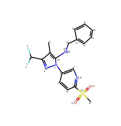 Cc1c(C(F)F)nn(-c2ccc(S(C)(=O)=O)nc2)c1NCc1ccccc1